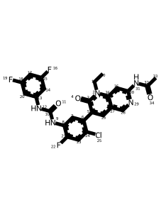 CCn1c(=O)c(-c2cc(NC(=O)Nc3cc(F)cc(F)c3)c(F)cc2Cl)cc2cnc(NC(C)=O)cc21